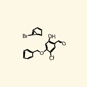 Brc1c2cccc1-2.O=Cc1cc(Cl)c(OCc2ccccc2)cc1O